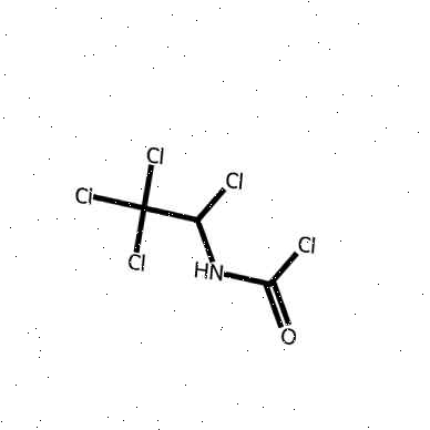 O=C(Cl)NC(Cl)C(Cl)(Cl)Cl